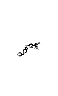 Cc1nn(C)cc1-c1ccc(NC2CC3(CCN(CC4CCOCC4)CC3)C2)nn1